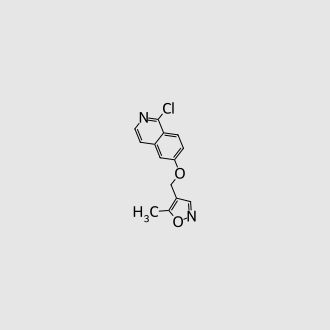 Cc1oncc1COc1ccc2c(Cl)nccc2c1